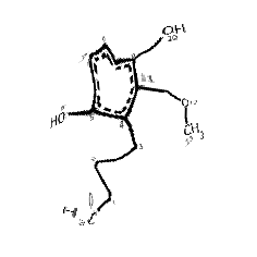 CCCCc1c(O)ccc(O)c1OC